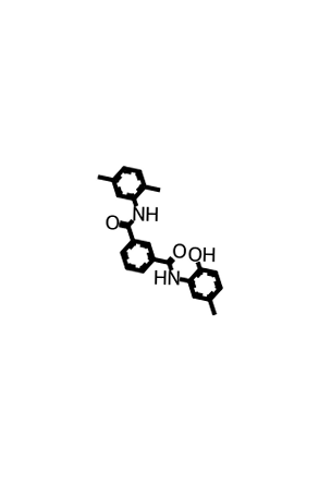 Cc1ccc(C)c(NC(=O)c2cccc(C(=O)Nc3cc(C)ccc3O)c2)c1